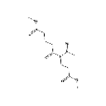 COC(=O)CCCC(=O)N(CCC(=O)OC)C(C)=N